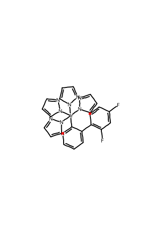 Fc1ccc(-c2cccn[c]2[Ir]([n]2cccn2)([n]2cccn2)([n]2cccn2)[n]2cccn2)c(F)c1